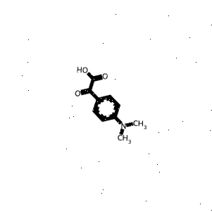 CN(C)c1ccc(C(=O)C(=O)O)cc1